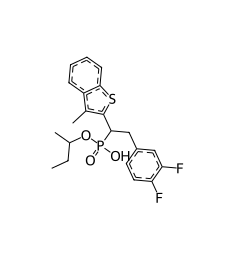 CCC(C)OP(=O)(O)C(Cc1ccc(F)c(F)c1)c1sc2ccccc2c1C